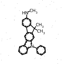 CNc1ccc2c(c1)C(C)(C)c1cc3c(cc1-2)c1ccccc1n3-c1ccccc1